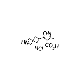 Cc1noc(C2CC3(CNC3)C2)c1C(=O)O.Cl